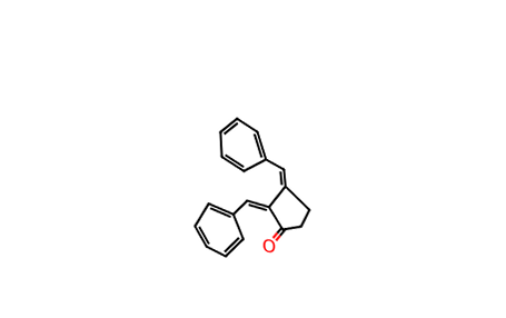 O=C1CCC(=Cc2ccccc2)C1=Cc1ccccc1